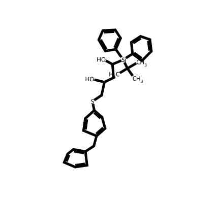 CC(C)(C)[Si](c1ccccc1)(c1ccccc1)C(O)CC(O)CSc1ccc(Cc2ccccc2)cc1